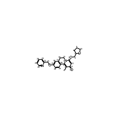 Cc1c2n(c(OCC3CCCO3)cc1=O)CCc1cc(OCc3ccccn3)ccc1-2